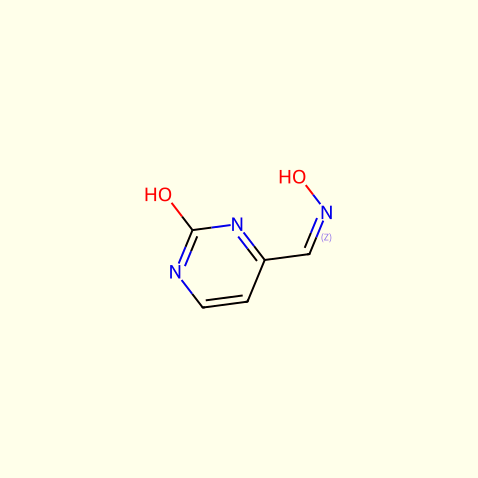 O/N=C\c1ccnc(O)n1